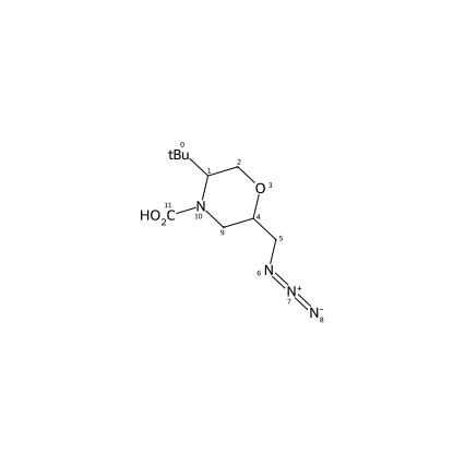 CC(C)(C)C1COC(CN=[N+]=[N-])CN1C(=O)O